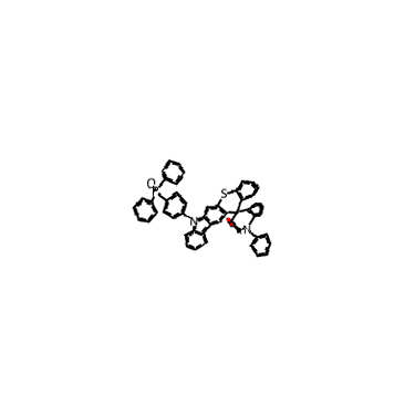 O=P(c1ccccc1)(c1ccccc1)c1ccc(-n2c3ccccc3c3cc4c(cc32)Sc2ccccc2C42c3ccccc3N(c3ccccc3)c3ccccc32)cc1